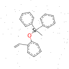 C=Cc1ccccc1O[Si](C)(c1ccccc1)c1ccccc1